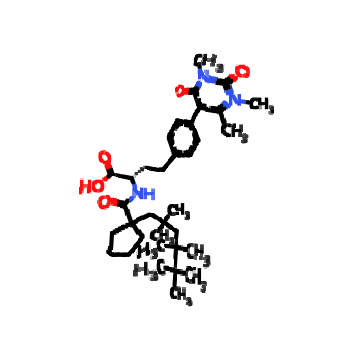 Cc1c(-c2ccc(CC[C@H](NC(=O)C3(CC(C)(C)CC(C)(C)C(C)(C)C)CCCC3)C(=O)O)cc2)c(=O)n(C)c(=O)n1C